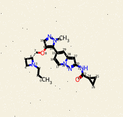 CCCN1CC[C@@H]1COc1cnn(C)c1-c1ccn2nc(NC(=O)C3CC3)cc2c1